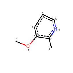 COc1[c]ccnc1C